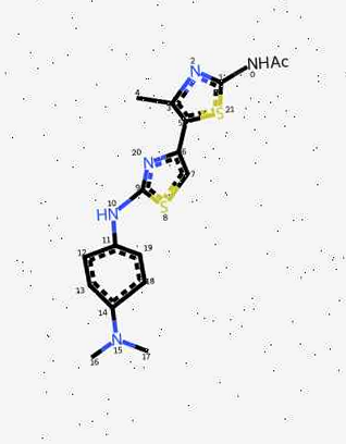 CC(=O)Nc1nc(C)c(-c2csc(Nc3ccc(N(C)C)cc3)n2)s1